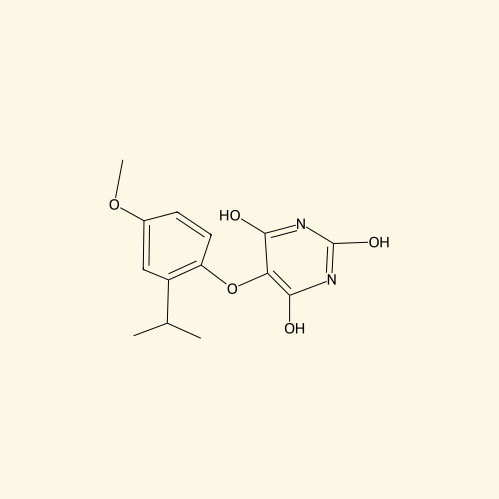 COc1ccc(Oc2c(O)nc(O)nc2O)c(C(C)C)c1